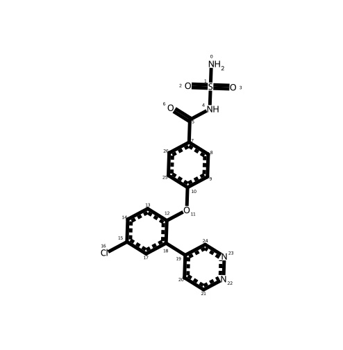 NS(=O)(=O)NC(=O)c1ccc(Oc2ccc(Cl)cc2-c2ccnnc2)cc1